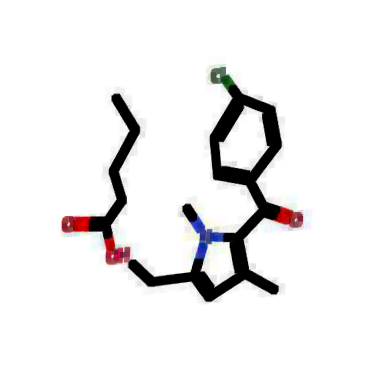 CCCCC(=O)O.CCc1cc(C)c(C(=O)c2ccc(Cl)cc2)n1C